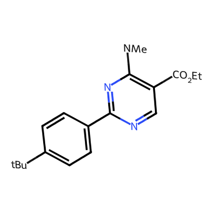 CCOC(=O)c1cnc(-c2ccc(C(C)(C)C)cc2)nc1NC